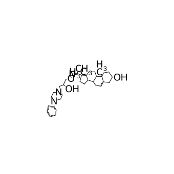 C/C(=N/OCC(O)CN1CCN(c2ccccc2)CC1)C1CCC2C3CC=C4CC(O)CCC4(C)C3CCC12C